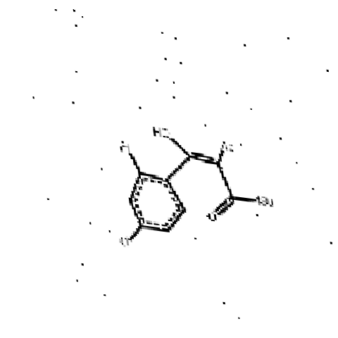 CC(=O)C(C(=O)C(C)(C)C)=C(O)c1ccc(Cl)cc1Cl